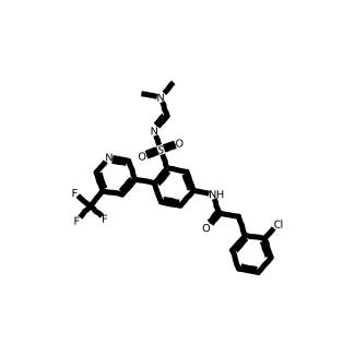 CN(C)/C=N/S(=O)(=O)c1cc(NC(=O)Cc2ccccc2Cl)ccc1-c1cncc(C(F)(F)F)c1